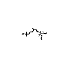 CCOP(=O)(OC=CC(C)CCCC(C)(C)O)OCC